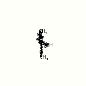 CCCCCCCCCCOc1ccc(C(=O)c2cccc(C(=O)OCC)c2)cc1CCCC(=O)O